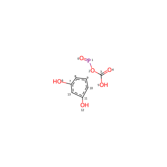 O=POC(=O)O.Oc1cccc(O)c1